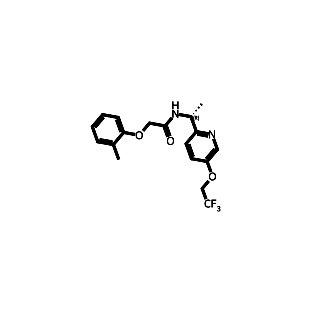 Cc1ccccc1OCC(=O)N[C@H](C)c1ccc(OCC(F)(F)F)cn1